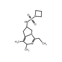 CCC1=NC(C)C(C)=C2CC(NS(=O)(=O)N3CCC3)CN12